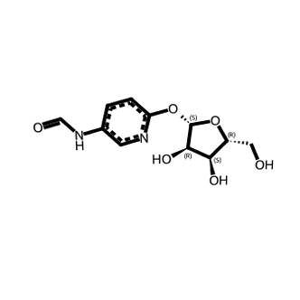 O=CNc1ccc(O[C@@H]2O[C@H](CO)[C@@H](O)[C@H]2O)nc1